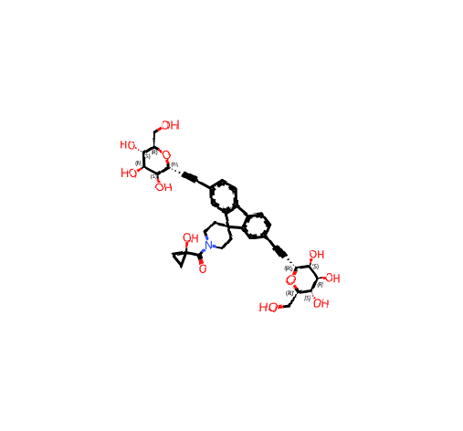 O=C(N1CCC2(CC1)c1cc(C#C[C@H]3O[C@H](CO)[C@@H](O)[C@H](O)[C@@H]3O)ccc1-c1ccc(C#C[C@H]3O[C@H](CO)[C@@H](O)[C@H](O)[C@@H]3O)cc12)C1(O)CC1